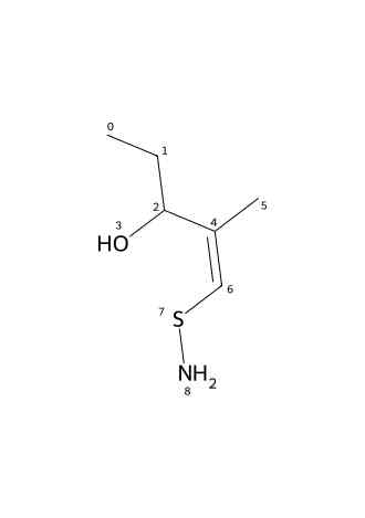 CCC(O)/C(C)=C\SN